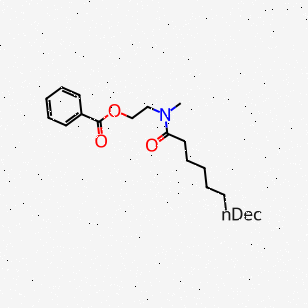 CCCCCCCCCCCCCCCC(=O)N(C)CCOC(=O)c1ccccc1